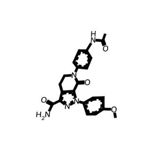 COc1ccc(-n2nc(C(N)=O)c3c2C(=O)N(c2ccc(NC(C)=O)cc2)CC3)cc1